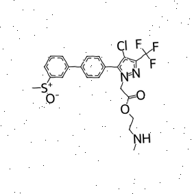 CNCCOC(=O)Cn1nc(C(F)(F)F)c(Cl)c1-c1ccc(-c2cccc([S+](C)[O-])c2)cc1